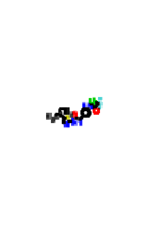 CC(C)c1cnc(NC(=O)Cc2ccc(NC(=O)C(F)(F)Cl)cc2)s1